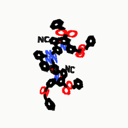 [C-]#[N+]c1cccc(-c2cc(-c3nc(-c4ccc(-n5c6ccc(C(=O)OCc7ccccc7)cc6c6cc(C(=O)OCc7ccccc7)ccc65)c(-c5cccc(C#N)c5)c4)nc(-c4ccccc4-c4cccc(C#N)c4)n3)ccc2-n2c3ccc(C(=O)OCc4ccccc4)cc3c3cc(C(=O)OCc4ccccc4)ccc32)c1